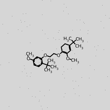 COC1=C(OCCOc2cc(OC)ccc2C(C)(C)C)CCC(C(C)(C)C)=C1